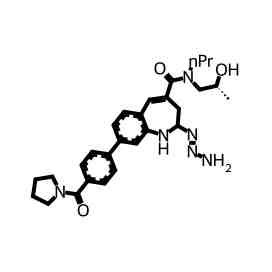 CCCN(C[C@@H](C)O)C(=O)C1=Cc2ccc(-c3ccc(C(=O)N4CCCC4)cc3)cc2NC(N=NN)C1